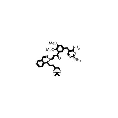 COc1cc(Cc2cnc(N)nc2N)cc(C(=O)C=CN2N=Cc3ccccc3C2CCC2COC(C)(C)O2)c1OC